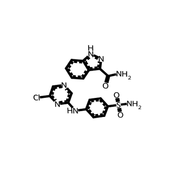 NC(=O)c1n[nH]c2ccccc12.NS(=O)(=O)c1ccc(Nc2cncc(Cl)n2)cc1